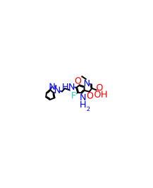 Nc1c(F)c(NCCCn2cnc3ccccc32)c2c3c1c(=O)c(C(=O)O)cn3CCO2